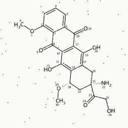 COc1cccc2c1C(=O)c1c(O)c3c(c(O)c1C2=O)C[C@@](N)(C(=O)CO)C[C@@H]3OC